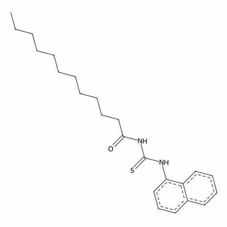 CCCCCCCCCCCC(=O)NC(=S)Nc1cccc2ccccc12